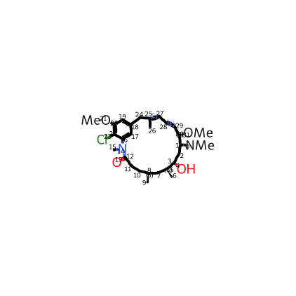 CNC1CC(O)[C@@H](C)C[C@@H](C)CCC(=O)N(C)c2cc(cc(OC)c2Cl)C/C(C)=C/C=C/[C@H]1OC